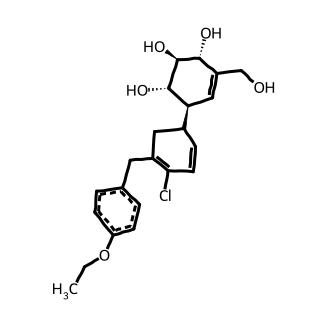 CCOc1ccc(CC2=C(Cl)C=CC([C@@H]3C=C(CO)[C@@H](O)[C@H](O)[C@H]3O)C2)cc1